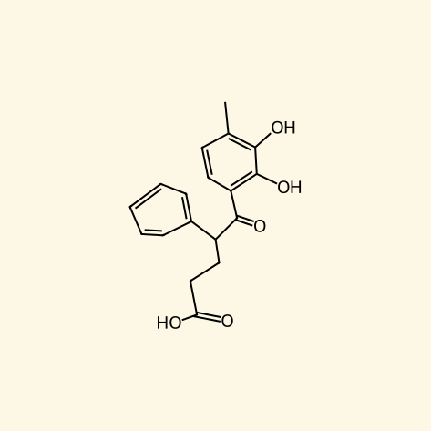 Cc1ccc(C(=O)C(CCC(=O)O)c2ccccc2)c(O)c1O